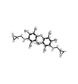 Brc1c(Br)c(Sc2c(Br)c(Br)c(SCC3CO3)c(Br)c2Br)c(Br)c(Br)c1SCC1CO1